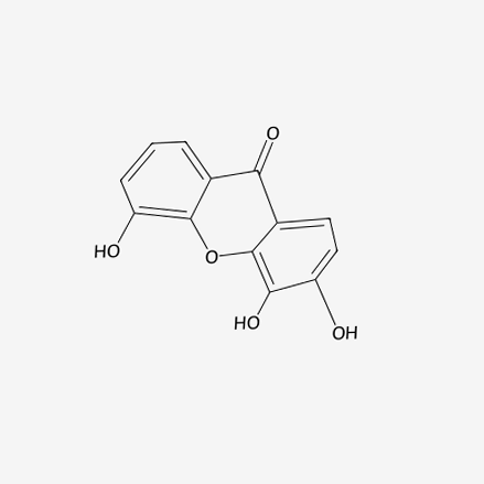 O=c1c2cccc(O)c2oc2c(O)c(O)ccc12